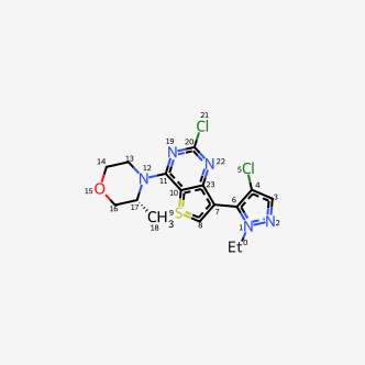 CCn1ncc(Cl)c1-c1csc2c(N3CCOC[C@H]3C)nc(Cl)nc12